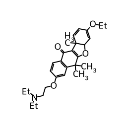 CCOC1=CC2OC3=C(C(=O)c4ccc(OCCN(CC)CC)cc4C3(C)C)C2(C)C=C1